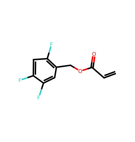 C=CC(=O)OCc1cc(F)c(F)cc1F